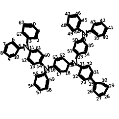 c1ccc(N(c2ccccc2)c2ccc(N(C3=CCC(N(c4ccc(-c5ccccc5)cc4)c4ccc(N(c5ccccc5)c5ccccc5)cc4)C=C3)c3ccccc3)cc2)cc#1